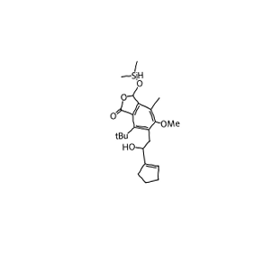 COc1c(C)c2c(c(C(C)(C)C)c1CC(O)C1=CCCC1)C(=O)OC2O[SiH](C)C